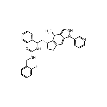 C[C@H]1C2=CNN(c3cccnc3)C2=CC2=C1[C@@H](CC(NC(=O)NCc1ccccc1F)c1ccccc1)CC2